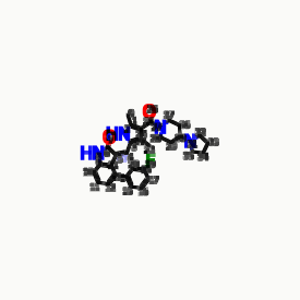 Cc1[nH]c(/C=C2\C(=O)Nc3cccc(-c4cccc(F)c4)c32)c(C)c1C(=O)N1CCC(N2CCCC2)CC1